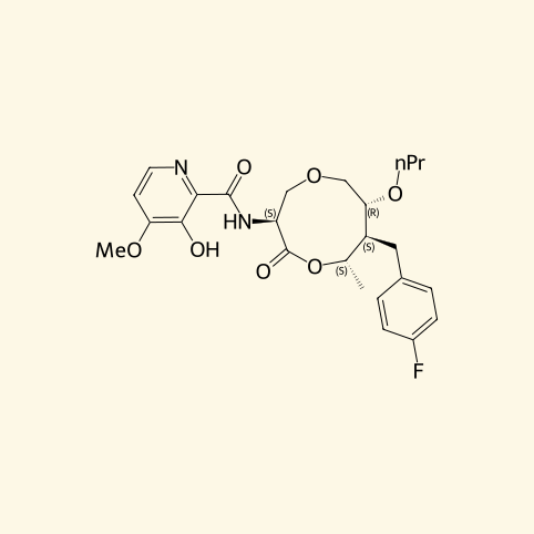 CCCO[C@H]1COC[C@H](NC(=O)c2nccc(OC)c2O)C(=O)O[C@@H](C)[C@@H]1Cc1ccc(F)cc1